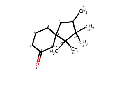 CC1CC2(CCCC(=O)C2)C(C)(C)C1(C)C